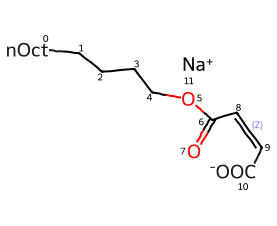 CCCCCCCCCCCCOC(=O)/C=C\C(=O)[O-].[Na+]